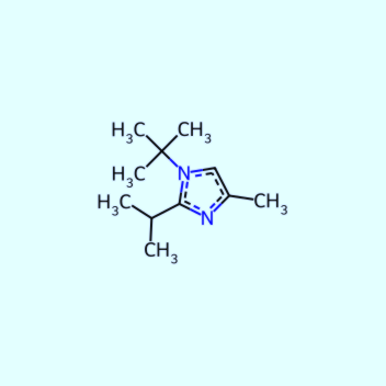 Cc1cn(C(C)(C)C)c(C(C)C)n1